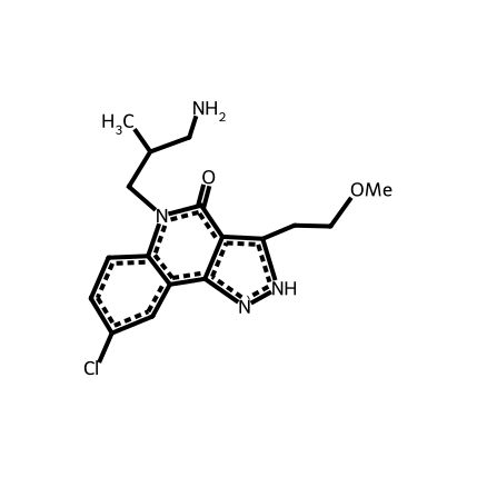 COCCc1[nH]nc2c1c(=O)n(CC(C)CN)c1ccc(Cl)cc21